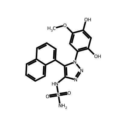 COc1cc(-n2nnc(NS(N)(=O)=O)c2-c2cccc3ccccc23)c(O)cc1O